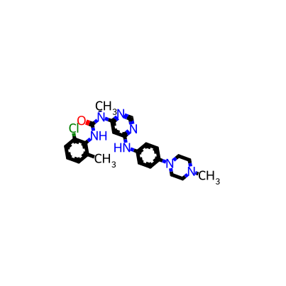 Cc1cccc(Cl)c1NC(=O)N(C)c1cc(Nc2ccc(N3CCN(C)CC3)cc2)ncn1